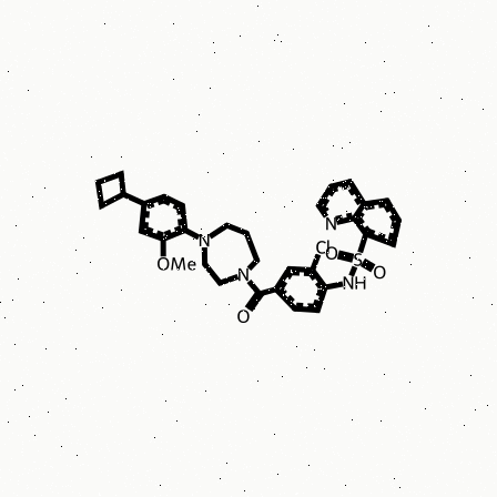 COc1cc(C2CCC2)ccc1N1CCCN(C(=O)c2ccc(NS(=O)(=O)c3cccc4cccnc34)c(Cl)c2)CC1